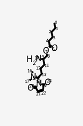 CCCCCC(=O)OCC(N)CCCC(N(C)C)N1C(=O)C=CC1=O